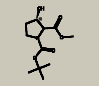 COC(=O)C1[C@@H](O)CCN1C(=O)OC(C)(C)C